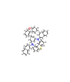 c1ccc2cc(N3c4cc(-c5cccc6oc7ccccc7c56)cc(c4)N(c4ccc5ccccc5c4)c4cccc5sc6cccc3c6c45)ccc2c1